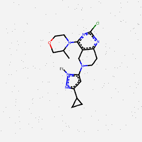 CCn1nc(C2CC2)cc1N1CCc2nc(Cl)nc(N3CCOCC3C)c2C1